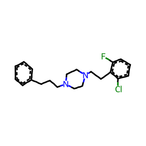 Fc1cccc(Cl)c1CCN1CCN(CCCc2ccccc2)CC1